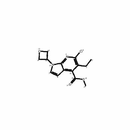 CCc1c(Cl)nc2c(ccn2C2COC2)c1C(=O)OC